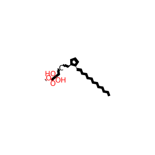 CCCCCCCCCCCC=C[C@H]1C=CC[C@@H]1CC=C=CCC(O)(O)C(=O)OC